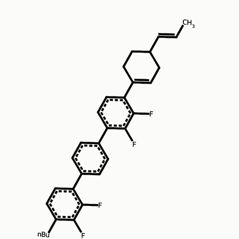 C/C=C/C1CC=C(c2ccc(-c3ccc(-c4ccc(CCCC)c(F)c4F)cc3)c(F)c2F)CC1